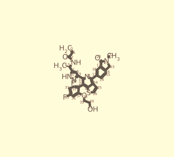 C=CC(=O)N[C@H](C)c1cc(-c2nc(-c3ccc4c(c3)C(=O)N(C)C4)c3ccsc3c2-c2c(F)cc(F)cc2OCCO)n[nH]1